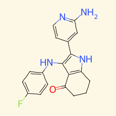 Nc1cc(-c2[nH]c3c(c2Nc2ccc(F)cc2)C(=O)CCC3)ccn1